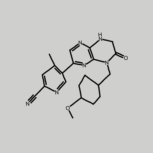 COC1CCC(CN2C(=O)CNc3ncc(-c4cnc(C#N)cc4C)nc32)CC1